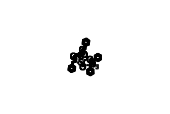 CC(=O)SC[C@H](Cc1ccccc1)C(=O)NCC(=O)OCc1ccccc1.O=C(OCc1ccccc1)c1ccccc1